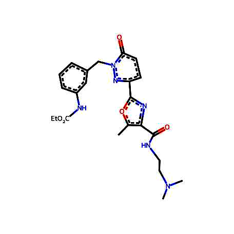 CCOC(=O)Nc1cccc(Cn2nc(-c3nc(C(=O)NCCN(C)C)c(C)o3)ccc2=O)c1